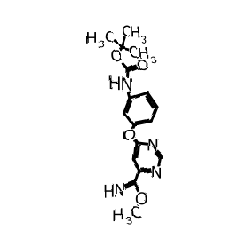 COC(=N)c1cc(Oc2cccc(NC(=O)OC(C)(C)C)c2)ncn1